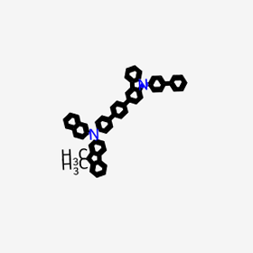 CC1(C)c2ccccc2-c2ccc(N(c3ccc(-c4ccc(-c5ccc6c(c5)c5ccccc5n6-c5ccc(-c6ccccc6)cc5)cc4)cc3)c3ccc4ccccc4c3)cc21